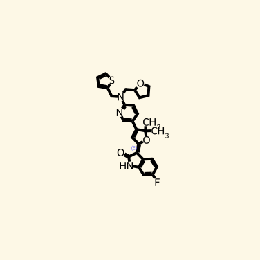 CC1(C)O/C(=C2/C(=O)Nc3cc(F)ccc32)C=C1c1ccc(N(Cc2cccs2)CC2CCCO2)nc1